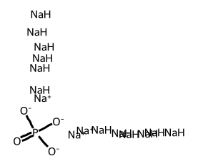 O=P([O-])([O-])[O-].[Na+].[Na+].[Na+].[NaH].[NaH].[NaH].[NaH].[NaH].[NaH].[NaH].[NaH].[NaH].[NaH].[NaH].[NaH]